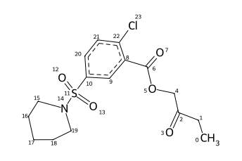 CCC(=O)COC(=O)c1cc(S(=O)(=O)N2CCCCC2)ccc1Cl